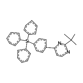 CC(C)(C)c1nccc(-c2ccc([Si](c3ccccc3)(c3ccccc3)c3ccccc3)cc2)n1